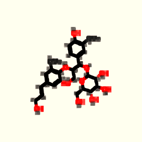 COc1cc(C(O[C@@H]2O[C@H](CO)[C@@H](O)[C@H](O)[C@H]2O)C(CO)Oc2ccc(/C=C/CO)cc2OC)ccc1O